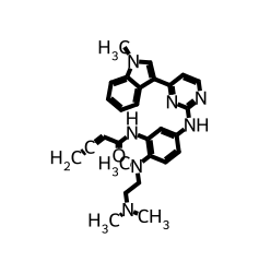 C=C=CC(=O)Nc1cc(Nc2nccc(-c3cn(C)c4ccccc34)n2)ccc1N(C)CCN(C)C